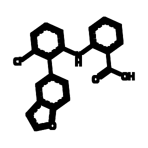 O=C(O)c1ccccc1Nc1cccc(Cl)c1-c1ccc2occc2c1